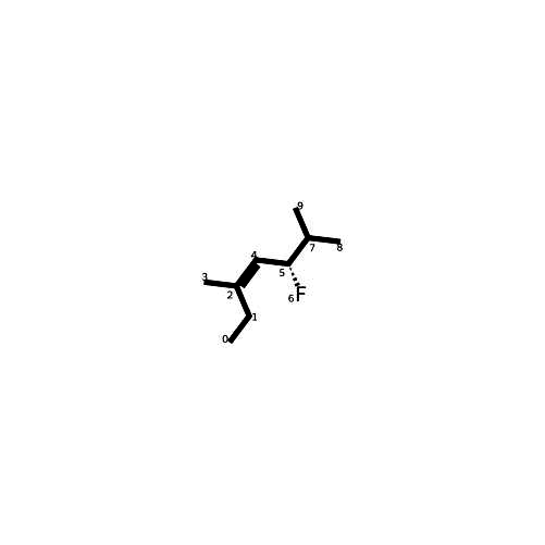 CC/C(C)=C\[C@@H](F)C(C)C